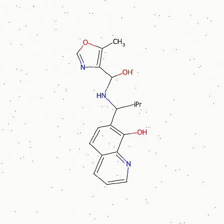 Cc1ocnc1C(O)NC(c1ccc2cccnc2c1O)C(C)C